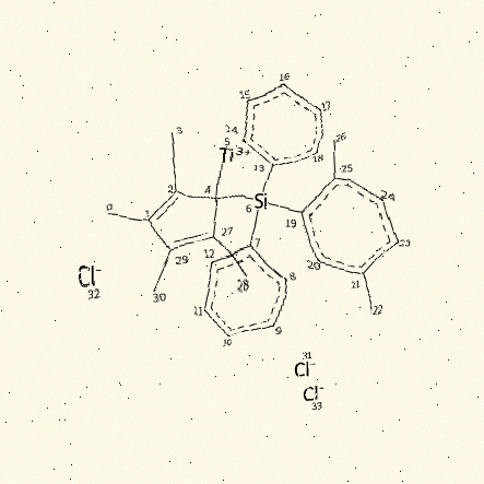 CC1=C(C)[C]([Ti+3])([Si](c2ccccc2)(c2ccccc2)c2cc(C)ccc2C)C(C)=C1C.[Cl-].[Cl-].[Cl-]